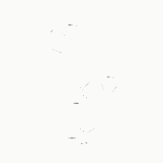 O=C(CCN1C(=O)C=CC1=O)N/N=C(/CCCCC(=O)ON1C(=O)CCC1=O)c1ccccc1